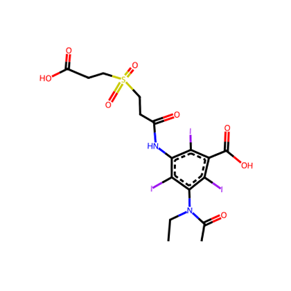 CCN(C(C)=O)c1c(I)c(NC(=O)CCS(=O)(=O)CCC(=O)O)c(I)c(C(=O)O)c1I